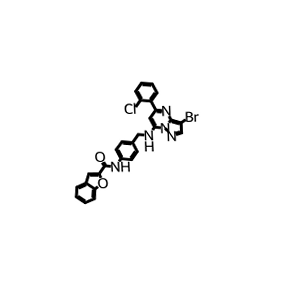 O=C(Nc1ccc(CNc2cc(-c3ccccc3Cl)nc3c(Br)cnn23)cc1)c1cc2ccccc2o1